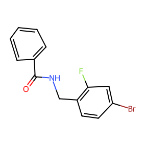 O=C(NCc1ccc(Br)cc1F)c1ccccc1